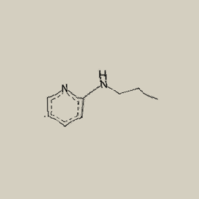 CCCNc1cc[c]cn1